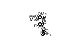 COc1cc(C(=O)N2COC(CCN3CCC(C(N)=O)(c4ccccn4)CC3)(c3ccc(Cl)c(Cl)c3)C2)cc(OC)c1OC